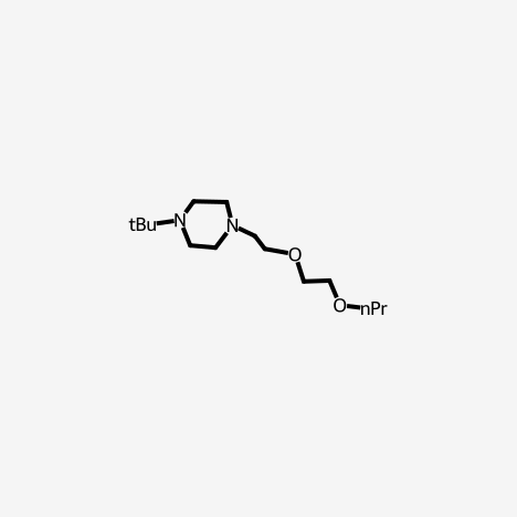 CCCOCCOCCN1CCN(C(C)(C)C)CC1